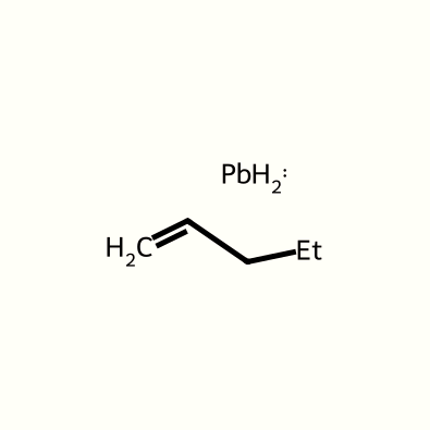 C=CCCC.[PbH2]